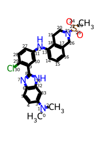 CN(C)c1ccc2nc(-c3cc(Nc4cccc5c4CCN(S(C)(=O)=O)C5)ccc3Cl)[nH]c2c1